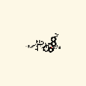 CCC(NCCO)C(=O)NC1CCc2ccccc2N(Cc2c(OC)ccc3cc(Br)ccc23)C1=O